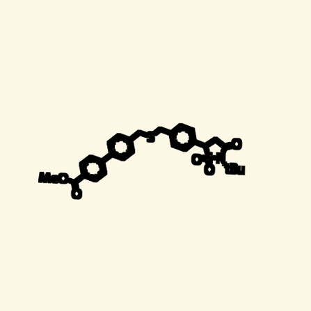 COC(=O)c1ccc(-c2ccc(CSCc3ccc(C4CC(=O)N(C(C)(C)C)S4(=O)=O)cc3)cc2)cc1